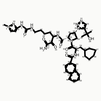 Cn1ccc(NC(=O)NCCCCC(NC(=O)[C@@H]2C[C@H](n3nncc3C(C)(C)O)CN2C(=O)[C@@H](CC2CCCCC2)NC(=O)c2ccc3ccccc3c2)C(=O)C(N)=O)n1